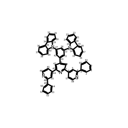 c1ccc(-c2cc(-c3cc(-c4cc(-n5c6ccccc6c6ccccc65)cc(-n5c6ccccc6c6ccccc65)c4)cc(-c4ccnc(-c5ccccc5)c4)n3)ccn2)cc1